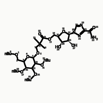 CCCCOCC1O[C@@H](OCC(C)(C)C(=O)OC[C@H]2O[C@@H](n3cnc(C(N)=O)n3)[C@H](O)[C@@H]2O)C(OCCCC)C(OCCCC)[C@H]1OCCCC